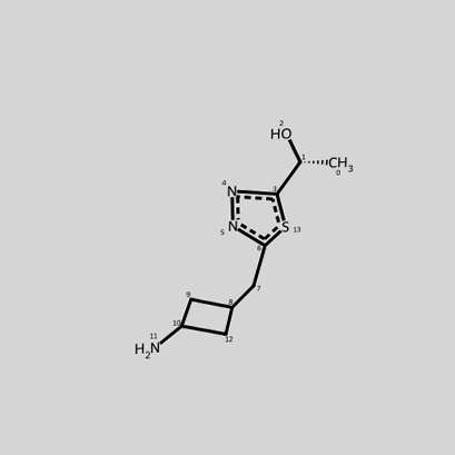 C[C@@H](O)c1nnc(CC2CC(N)C2)s1